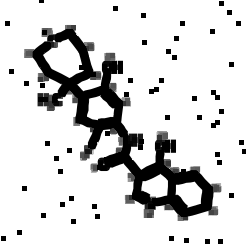 CC1(c2cc(F)c(NC(=O)c3cnc4ccccc4c3O)cc2O)CCCCCC1